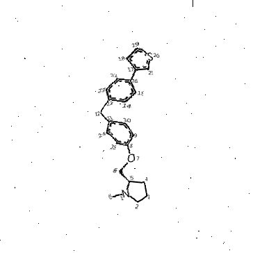 CN1CCC[C@@H]1COc1ccc(Cc2ccc(-c3ccsc3)cc2)cc1